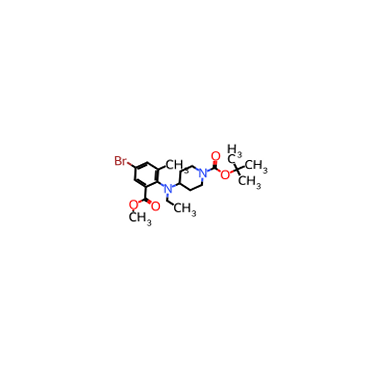 CCN(c1c(C)cc(Br)cc1C(=O)OC)C1CCN(C(=O)OC(C)(C)C)CC1